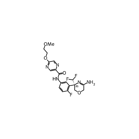 COCCOc1cnc(C(=O)Nc2ccc(F)c([C@]3(C(F)F)COCC(N)=N3)c2)cn1